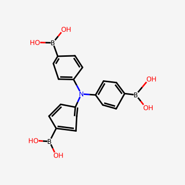 OB(O)c1ccc(N(c2ccc(B(O)O)cc2)c2ccc(B(O)O)cc2)cc1